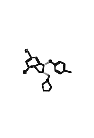 Cc1ccc(O[C@H]2c3cc(Cl)cc(Cl)c3C[C@H]2CN2CCCC2)cc1